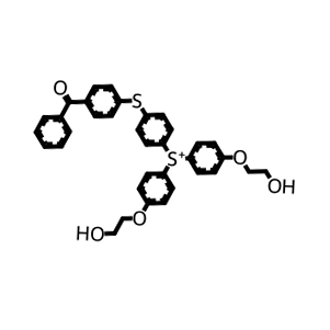 O=C(c1ccccc1)c1ccc(Sc2ccc([S+](c3ccc(OCCO)cc3)c3ccc(OCCO)cc3)cc2)cc1